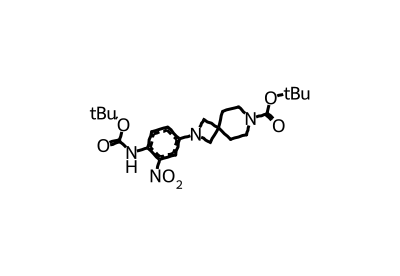 CC(C)(C)OC(=O)Nc1ccc(N2CC3(CCN(C(=O)OC(C)(C)C)CC3)C2)cc1[N+](=O)[O-]